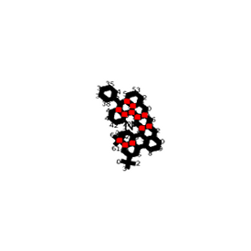 CC(C)(C)c1cc(-c2cccc3cccc(-c4ccccc4N(c4ccccc4-c4ccc(-c5ccccc5)cc4)c4ccccc4-c4cccc5ccccc45)c23)cc(C(C)(C)C)c1